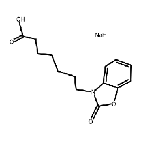 O=C(O)CCCCCCn1c(=O)oc2ccccc21.[NaH]